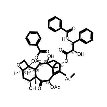 CC(=O)O[C@H]1C(=O)[C@@]2(C)[C@H]([C@H](OC(=O)c3ccccc3)[C@]3(O)C[C@H](OC(=O)[C@H](O)[C@@H](NC(=O)c4ccccc4)c4ccccc4)C(C)=C1C3(C)C)[C@]1(OC(C)=O)CO[C@@H]1C[C@@H]2O.CC(C)=O